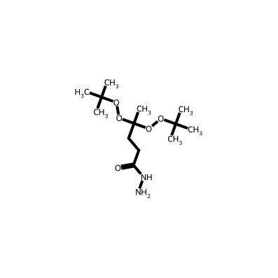 CC(C)(C)OOC(C)(CCC(=O)NN)OOC(C)(C)C